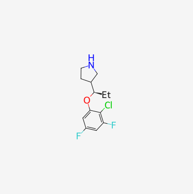 CC[C@@H](Oc1cc(F)cc(F)c1Cl)C1CCNC1